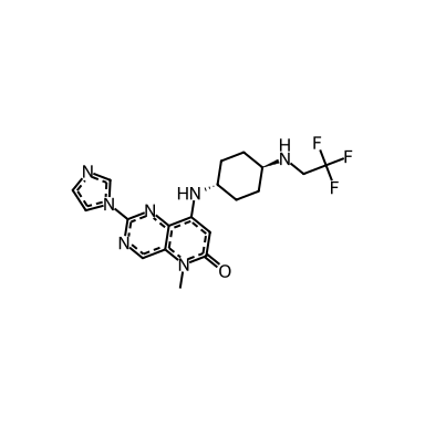 Cn1c(=O)cc(N[C@H]2CC[C@H](NCC(F)(F)F)CC2)c2nc(-n3ccnc3)ncc21